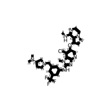 CNc1nccn2ncc(Oc3cnc4nc(Nc5cc(CN6CC[C@H](N(C)C)C6)cc(C(F)(F)F)c5)n(C)c4c3Cl)c12